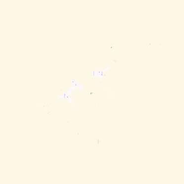 O=CC1CCC(NC(=O)c2nn(C3CCCCO3)c3ccc(Br)cc23)CC1